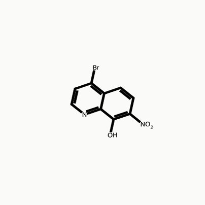 O=[N+]([O-])c1ccc2c(Br)ccnc2c1O